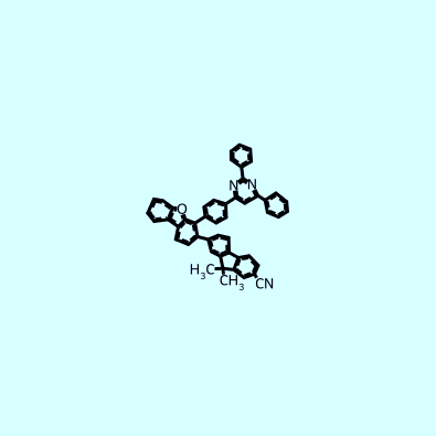 CC1(C)c2cc(C#N)ccc2-c2ccc(-c3ccc4c(oc5ccccc54)c3-c3ccc(-c4cc(-c5ccccc5)nc(-c5ccccc5)n4)cc3)cc21